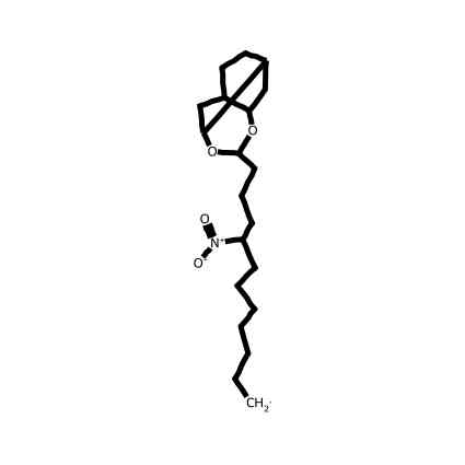 [CH2]CCCCCCC(CCC[C]1OC2CC3CCC2CC3O1)[N+](=O)[O-]